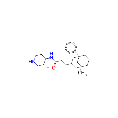 C[C@]12CCC[C@](c3ccccc3)(CC(CCC(=O)N[C@@H]3CCNC[C@H]3F)C1)C2